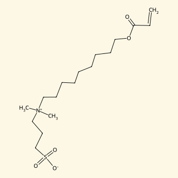 C=CC(=O)OCCCCCCCCC[N+](C)(C)CCCS(=O)(=O)[O-]